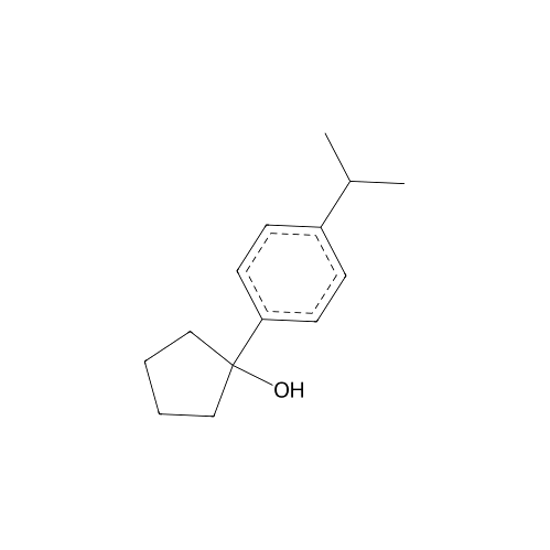 CC(C)c1ccc(C2(O)CCCC2)cc1